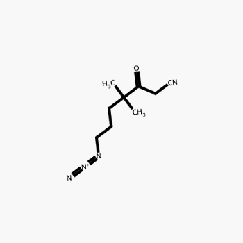 CC(C)(CCCN=[N+]=[N-])C(=O)CC#N